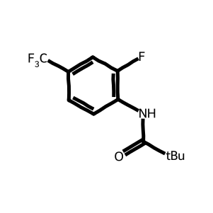 CC(C)(C)C(=O)Nc1ccc(C(F)(F)F)cc1F